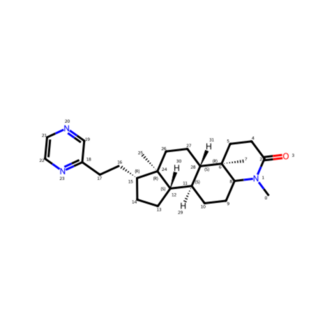 CN1C(=O)CC[C@@]2(C)C1CC[C@H]1[C@@H]3CC[C@H](CCc4cnccn4)[C@@]3(C)CC[C@@H]12